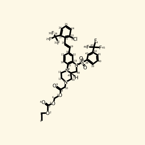 CCOC(=O)OCOC(=O)CN1CCN2c3ccc(/C=C/c4c(Cl)cccc4C(F)(F)F)cc3N(S(=O)(=O)c3cccc(C(F)(F)F)c3)C[C@@H]2C1